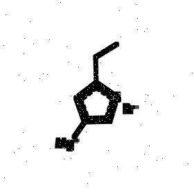 CCc1c[c]([Mg+])cs1.[Br-]